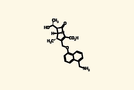 C[C@@H](O)[C@H]1C(=O)N2C(C(=O)O)=C(COc3cccc4c(CN)cccc34)[C@H](C)[C@H]12